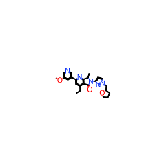 CCc1cc(-c2cncc(OC)c2)nc2c1C(=O)N(c1ccn(CC3CCCO3)n1)C2C